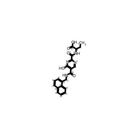 CCC(NC(=O)c1ncc(C(=O)NCc2cccc3ccccc23)c(O)n1)C(=O)O